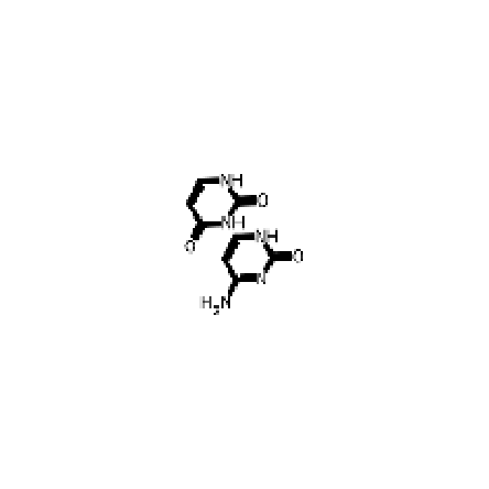 Nc1cc[nH]c(=O)n1.O=c1cc[nH]c(=O)[nH]1